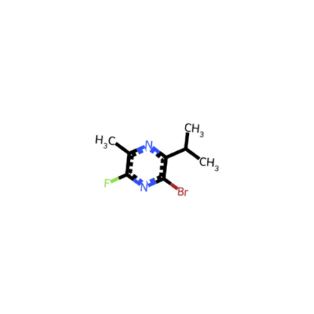 Cc1nc(C(C)C)c(Br)nc1F